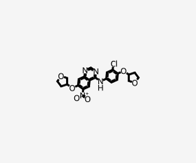 O=[N+]([O-])c1cc2c(Nc3ccc(OC4CCOC4)c(Cl)c3)ncnc2cc1OC1CCOC1